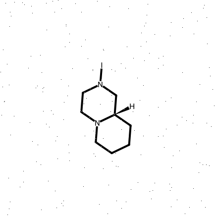 IN1CCN2CCCC[C@H]2C1